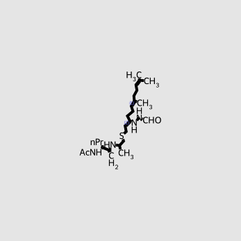 C=C(NC(C)CSC/C=C(/CC/C=C(\C)CCC=C(C)C)NNC=O)C(CCC)NC(C)=O